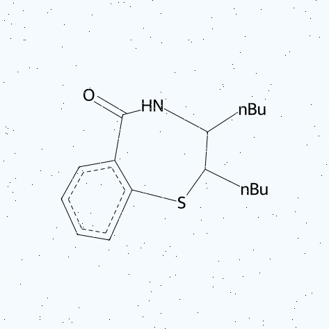 CCCCC1NC(=O)c2ccccc2SC1CCCC